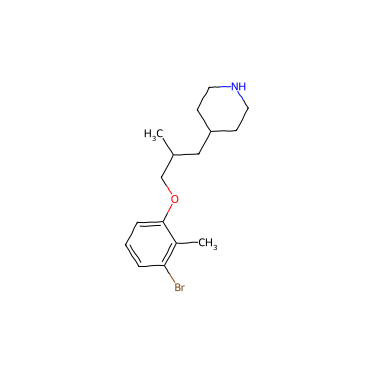 Cc1c(Br)cccc1OCC(C)CC1CCNCC1